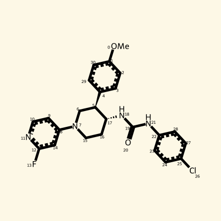 COc1ccc([C@@H]2CN(c3ccnc(F)c3)CC[C@H]2NC(=O)Nc2ccc(Cl)cc2)cc1